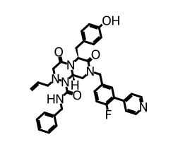 C=CCN1CC(=O)N2[C@@H](Cc3ccc(O)cc3)C(=O)N(Cc3ccc(F)c(-c4ccncc4)c3)C[C@@H]2N1C(=O)NCc1ccccc1